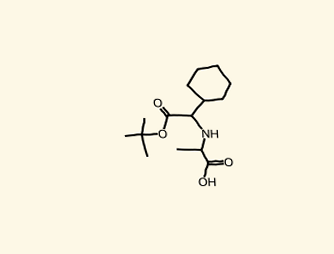 CC(NC(C(=O)OC(C)(C)C)C1CCCCC1)C(=O)O